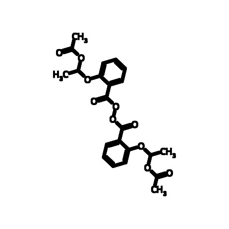 CC(=O)OC(C)Oc1ccccc1C(=O)OOC(=O)c1ccccc1OC(C)OC(C)=O